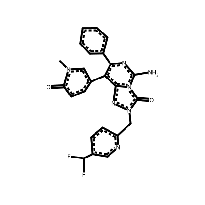 Cn1cc(-c2c(-c3ccccc3)nc(N)n3c(=O)n(Cc4ccc(C(F)F)cn4)nc23)ccc1=O